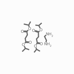 CC(C)OC(=O)CCC(=O)OC(C)C.CC(C)OC(=O)CCC(=O)OC(C)C.NCCN